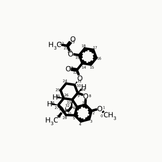 COc1ccc2c3c1O[C@H]1[C@@H](OC(=O)c4ccccc4OC(C)=O)CC[C@H]4[C@@H](C2)N(C)CC[C@@]341